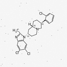 Cc1nc2cc(Cl)c(Cl)cc2n1[C@H]1CCN2C[C@H](c3ccccc3Cl)CC[C@H]2C1